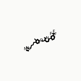 Cc1cc(OCc2ccc(-c3cccc(C(F)(F)F)c3)nc2C)ccc1CCCCn1ccnn1